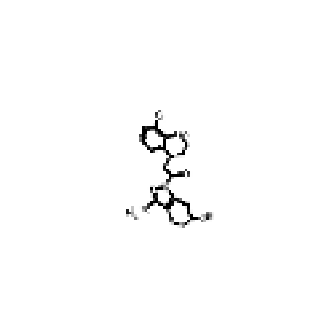 Nc1nn(C(=O)CC2CCNc3c(Cl)cccc32)c2c1CCC(O)C2